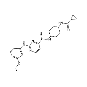 CCOc1cccc(Nc2nccc(C(=O)NC3CCC(NC(=O)C4CC4)CC3)n2)c1